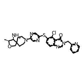 C[C@@H]1OCC2(CCN(c3cnc(Sc4ccc5ncn(Cc6ccccn6)c(=O)c5c4Cl)cn3)CC2)[C@@H]1N